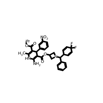 CC1=C(C(=O)OC(C)C)C(c2cccc([N+](=O)[O-])c2)C(C(=O)OC2CN(C(c3ccccc3)C3C=CC(F)(F)C=C3)C2)=C(N)N1